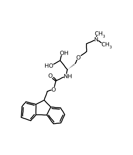 CN(C)CCOC[C@H](NC(=O)OCC1c2ccccc2-c2ccccc21)C(O)O